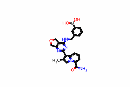 Cc1cn2c(C(N)=O)cccc2c1-c1nc2c(c(NCc3cccc(B(O)O)c3)n1)COC2